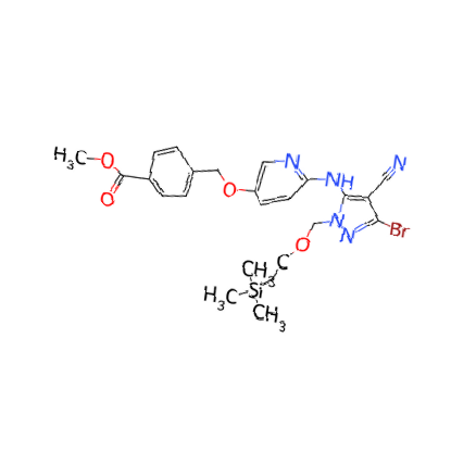 COC(=O)c1ccc(COc2ccc(Nc3c(C#N)c(Br)nn3COCC[Si](C)(C)C)nc2)cc1